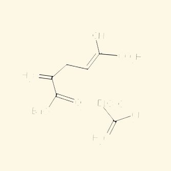 C=C(C)C(=O)OCC.C=C(CC=C(C)C(=O)O)C(=O)OCC(C)C